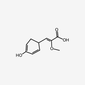 COC(=CC1C=CC(O)=CC1)C(=O)O